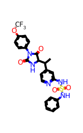 CC(c1ccnc(NS(=O)(=O)Nc2ccccc2)c1)C1NC(=O)N(c2ccc(OC(F)(F)F)cc2)C1=O